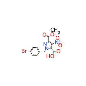 COC(=O)c1nn(Cc2ccc(Br)cc2)c(C(=O)O)c1[N+](=O)[O-]